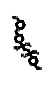 CC(C)(C)C1CCN(C(C)(C)CCC(C)(C)N2CCN(C[C@@H]3CCCN(C(C)(C)C)C3)CC2)CC1